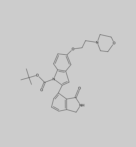 CC(C)(C)OC(=O)n1c(-c2cccc3c2C(=O)NC3)cc2cc(OCCN3CCOCC3)ccc21